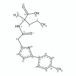 CCCC(C)(NC(=O)Cc1csc(-c2ccc(C)cc2)n1)C(=O)O